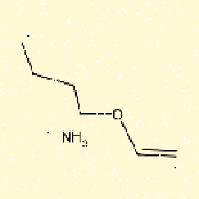 C=COCCCC.N